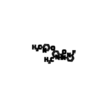 Cc1ccc(Oc2cc(C)nc(C(=O)Nc3cccc(F)n3)c2)cn1